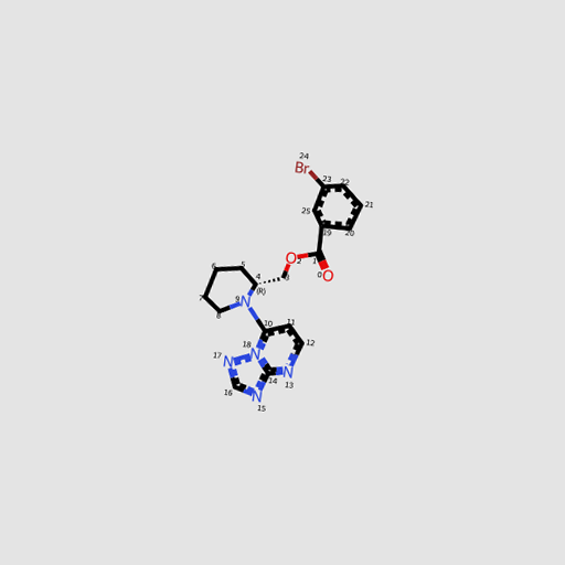 O=C(OC[C@H]1CCCCN1c1ccnc2ncnn12)c1cccc(Br)c1